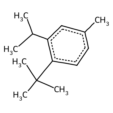 Cc1ccc(C(C)(C)C)c(C(C)C)c1